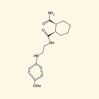 COc1ccc(NCCNC(=O)[C@@H]2CCCC[C@@H]2C(N)=O)cc1